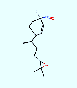 C[C@H](CC[C@@H]1OC1(C)C)C1C=C[C@](C)(N=O)CC1